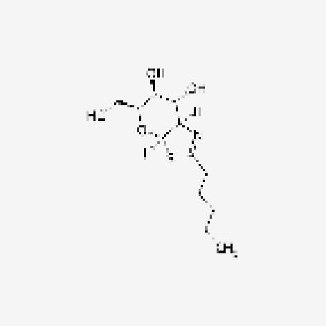 CCCCCC1=N[C@@H]2[C@@H](O)[C@H](O)[C@H](CO)O[C@@H]2S1